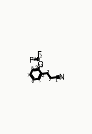 N#CCCc1ccccc1OC(F)F